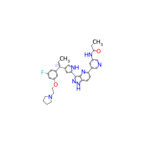 C/C=C(/c1cc(F)cc(OCCN2CCCC2)c1)c1c[nH]c(-c2n[nH]c3ccc(-c4cncc(NC(=O)CC)c4)nc23)c1